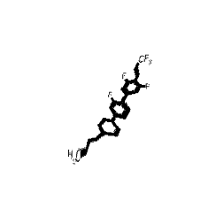 C=CCCC1CCC(c2ccc(-c3cc(F)c(/C=C/C(F)(F)F)c(F)c3)c(F)c2)CC1